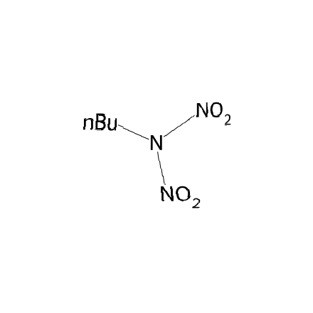 CCCCN([N+](=O)[O-])[N+](=O)[O-]